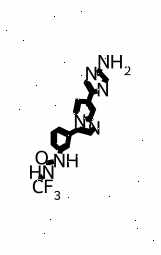 Nc1cnc(-c2ccn3c(-c4cccc(NC(=O)NCC(F)(F)F)c4)cnc3c2)cn1